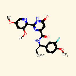 CCOc1cnc(-c2nc(C(=O)N[C@H](COC)c3ccc(OC(F)(F)F)c(F)c3)cc(=O)[nH]2)c(OCC)c1